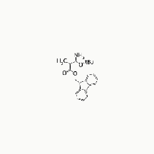 [CH2]C(C(=O)OCC1c2ccccc2-c2ccccc21)C(N)OC(C)(C)C